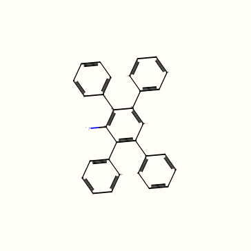 Nc1c(-c2ccccc2)c(-c2ccccc2)[c]c(-c2ccccc2)c1-c1ccccc1